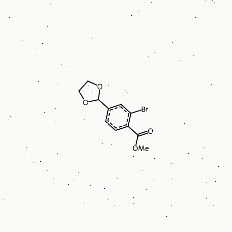 COC(=O)c1ccc(C2OCCO2)cc1Br